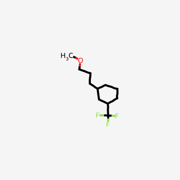 COCCCC1CCCC(C(F)(F)F)C1